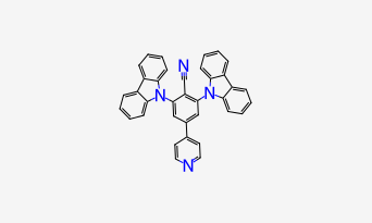 N#Cc1c(-n2c3ccccc3c3ccccc32)cc(-c2ccncc2)cc1-n1c2ccccc2c2ccccc21